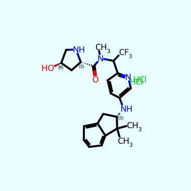 CN(C(=O)[C@@H]1C[C@@H](O)CN1)C(c1ccc(N[C@H]2Cc3ccccc3C2(C)C)cn1)C(F)(F)F.Cl.Cl